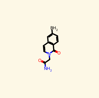 Bc1ccc2c(=O)n(CC(N)=O)ccc2c1